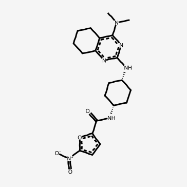 CN(C)c1nc(N[C@H]2CC[C@@H](NC(=O)c3ccc([N+](=O)[O-])o3)CC2)nc2c1CCCC2